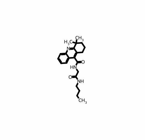 CCCCNC(=O)CNC(=O)c1c2c(nc3ccccc13)C(C)(C)CCC2